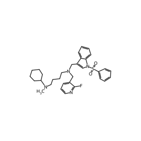 CN(CCCCN(Cc1cccnc1F)Cc1cn(S(=O)(=O)c2ccccc2)c2ccccc12)C1CCCCC1